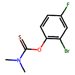 CN(C)C(=S)Oc1ccc(F)cc1Br